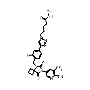 N#Cc1ncc(N2C(=O)C3(CCC3)N(Cc3ccc(-c4cn(CCCCC(=O)NO)nn4)cc3F)C2=S)cc1C(F)(F)F